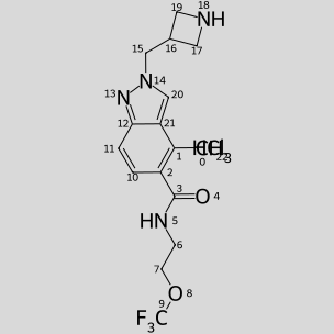 Cc1c(C(=O)NCCOC(F)(F)F)ccc2nn(CC3CNC3)cc12.Cl